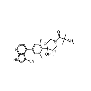 Cc1cc(-c2ccnc3[nH]cc(C#N)c23)cc(F)c1C1(O)[C@H](C)CN(C(=O)C(C)(C)N)C[C@@H]1C